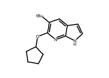 CC(C)(C)c1cc2cc[nH]c2nc1OC1CCCC1